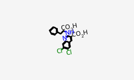 O=C(O)c1cc2cc(Cl)c(Cl)cc2nc1NC(Cc1ccccc1)C(=O)O